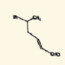 CC(C)C(C)C/C=C/C=O